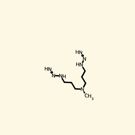 CN(CCCNN=N)CCCNN=N